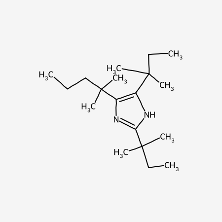 CCCC(C)(C)c1nc(C(C)(C)CC)[nH]c1C(C)(C)CC